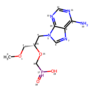 COC[C@H](Cn1cnc2c(N)ncnc21)OC[PH](=O)O